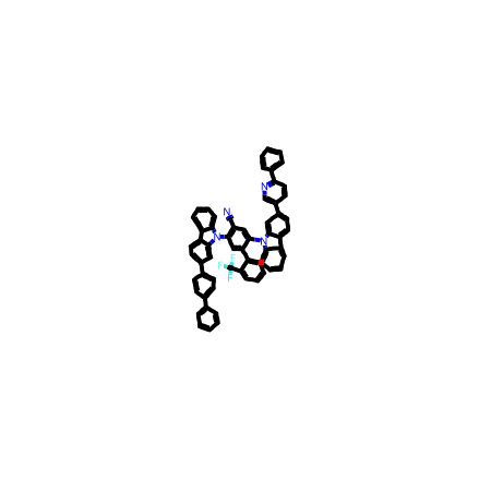 N#Cc1cc(-n2c3ccccc3c3ccc(-c4ccc(-c5ccccc5)nc4)cc32)c(-c2ccccc2C(F)(F)F)cc1-n1c2ccccc2c2ccc(-c3ccc(-c4ccccc4)cc3)cc21